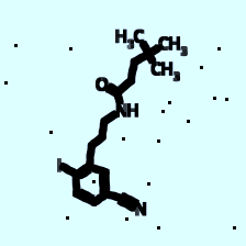 CC(C)(C)CCC(=O)NCCCc1cc(C#N)ccc1I